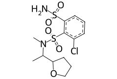 CC(C1CCCO1)N(C)S(=O)(=O)c1c(Cl)cccc1S(N)(=O)=O